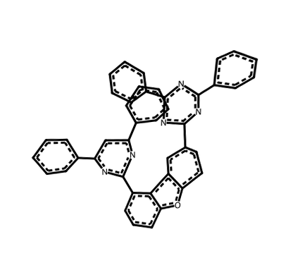 c1ccc(-c2cc(-c3ccccc3)nc(-c3cccc4oc5ccc(-c6nc(-c7ccccc7)nc(-c7ccccc7)n6)cc5c34)n2)cc1